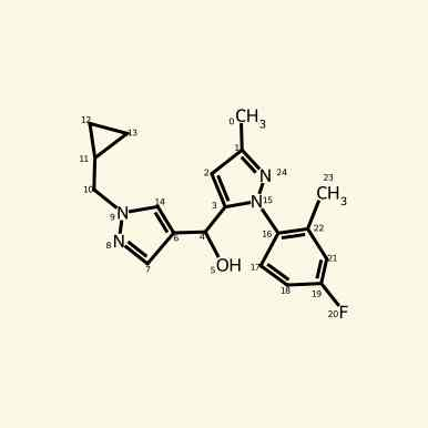 Cc1cc(C(O)c2cnn(CC3CC3)c2)n(-c2ccc(F)cc2C)n1